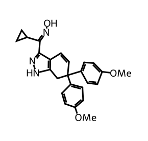 COc1ccc(C2(c3ccc(OC)cc3)C=Cc3c(C(=NO)C4CC4)n[nH]c3C2)cc1